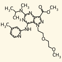 COCCOCCn1nc(C(=O)OC)c2nc(N(C)C(C)C)nc(Nc3cc(C)ccn3)c21